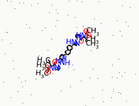 CC[C@H](C)C(NC(=O)OC)C(=O)N1CCC[C@H]1c1ncc(-c2ccc3cc(-c4ccc5nc([C@@H]6CCCN6C(=O)[C@@H](NC(=O)OC)[C@@H](C)CC)[nH]c5n4)ccc3c2)[nH]1